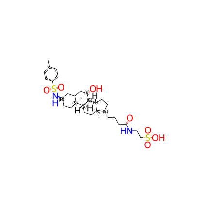 Cc1ccc(S(=O)(=O)N[C@@H]2CC[C@@]3(C)C(C2)C[C@H](O)[C@H]2[C@@H]4CC[C@H](CCCC(=O)NCCS(=O)(=O)O)[C@@]4(C)CC[C@@H]23)cc1